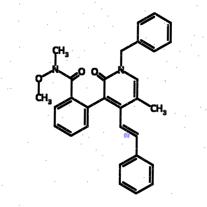 CON(C)C(=O)c1ccccc1-c1c(/C=C/c2ccccc2)c(C)cn(Cc2ccccc2)c1=O